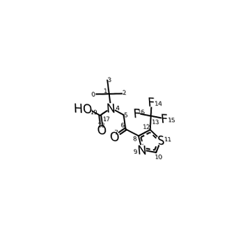 CC(C)(C)N(CC(=O)c1ncsc1C(F)(F)F)C(=O)O